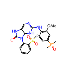 COc1cc(P(C)(C)=O)ccc1NC1=NC=C2NC(=O)N(c3ccccc3S(=O)(=O)C(C)C)C2N1